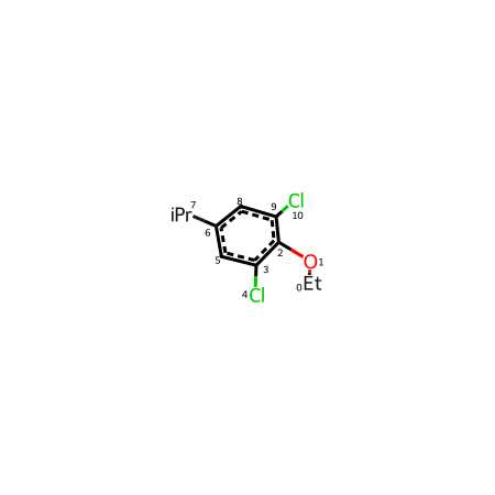 CCOc1c(Cl)cc(C(C)C)cc1Cl